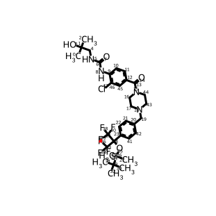 CC(C)(O)CNC(=O)Nc1ccc(C(=O)N2CCN(Cc3ccc(C(O[Si](C)(C)C(C)(C)C)(C(F)(F)F)C(F)(F)F)cc3)CC2)cc1Cl